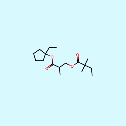 CCC1(OC(=O)C(C)COC(=O)C(C)(C)CC)CCCC1